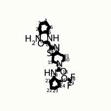 Nc1ccccc1NC(=O)c1nc2c(s1)CN(C(=O)Nc1ccccc1OC(F)F)CC2